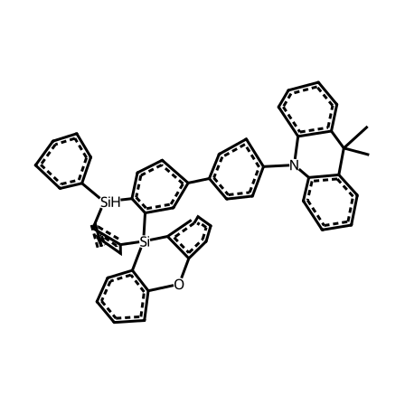 CC1(C)c2ccccc2N(c2ccc(-c3ccc4c(c3)[Si]3(c5ccccc5Oc5ccccc53)c3ccccc3[SiH]4c3ccccc3)cc2)c2ccccc21